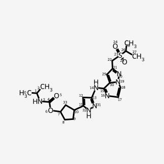 CC(C)NC(=O)OC1CCC(c2cc(Nc3nccn4nc(CS(=O)(=O)C(C)C)cc34)n[nH]2)C1